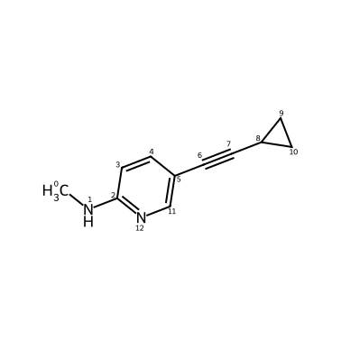 CNc1ccc(C#CC2CC2)cn1